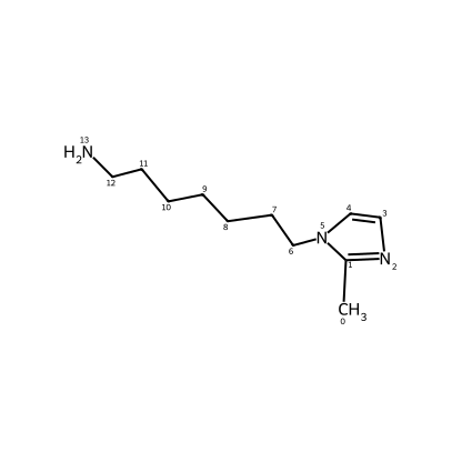 Cc1nccn1CCCCCCCN